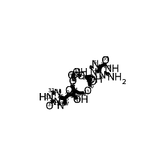 Nc1nc2c(ncn2C2OC3OCCC4(COP(=O)(O)OC2C3O)OC(c2cnn3c(=O)[nH]cnc23)C4O)c(=O)[nH]1